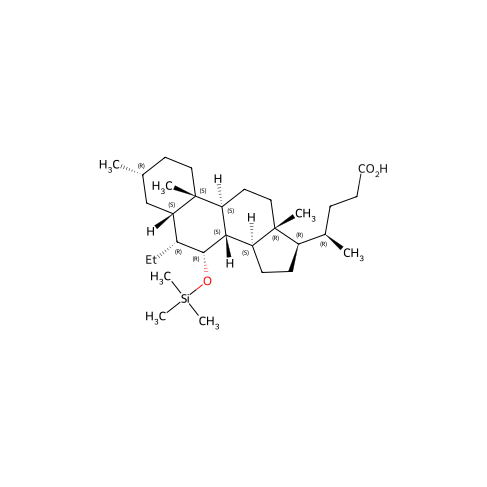 CC[C@H]1[C@@H](O[Si](C)(C)C)[C@@H]2[C@H](CC[C@]3(C)[C@@H]([C@H](C)CCC(=O)O)CC[C@@H]23)[C@@]2(C)CC[C@@H](C)C[C@@H]12